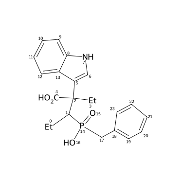 CCC(C(CC)(C(=O)O)c1c[nH]c2ccccc12)P(=O)(O)Cc1ccccc1